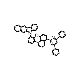 c1ccc(-c2cc(-c3ccccc3)nc(-c3ccc4c5c(cccc35)-c3cccc(-n5c6ccccc6c6cc7ccccc7cc65)c3O4)n2)cc1